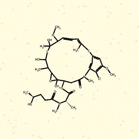 COc1cc2cc(c1Cl)N(C)C(=O)CC(OC(=O)[C@H](C)N(C)C(=O)CC[C@H](C)S)C1(C)OC1C(C)C(O)CC(N)(O)C(OC)/C=C/C=C(\C)C2